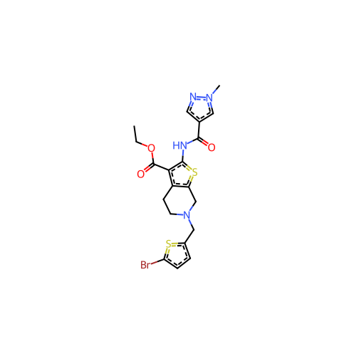 CCOC(=O)c1c(NC(=O)c2cnn(C)c2)sc2c1CCN(Cc1ccc(Br)s1)C2